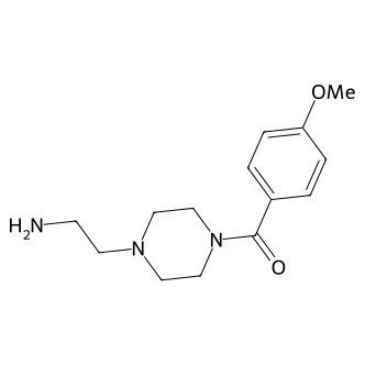 COc1ccc(C(=O)N2CCN(CCN)CC2)cc1